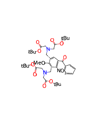 COc1c(CN(CC(=O)OC(C)(C)C)CC(=O)OC(C)(C)C)cc(C(=O)c2ccccc2)c([N+](=O)[O-])c1CN(CC(=O)OC(C)(C)C)CC(=O)OC(C)(C)C